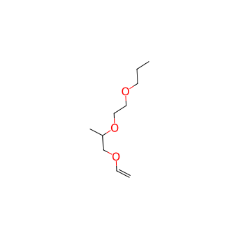 C=COCC(C)OCCOCCC